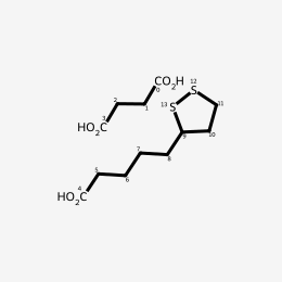 O=C(O)CCC(=O)O.O=C(O)CCCCC1CCSS1